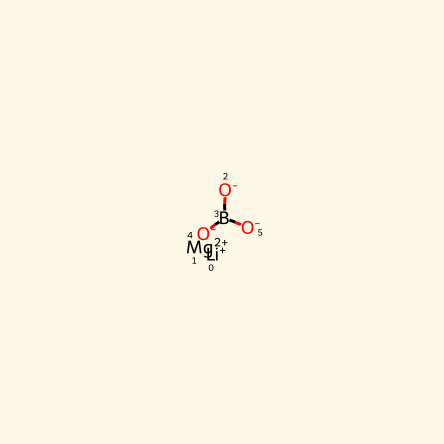 [Li+].[Mg+2].[O-]B([O-])[O-]